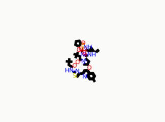 C=C[C@@H]1C[C@]1(NC(=O)[C@@H]1C[C@@H](Oc2cc(-c3csc(NC(=O)CC(C)(C)C)n3)nc3cc(C)ccc23)CN1C(=O)[C@@H](NC(=O)OC1CCCC1)C(C)(C)C)C(=O)NS(C)(=O)=O